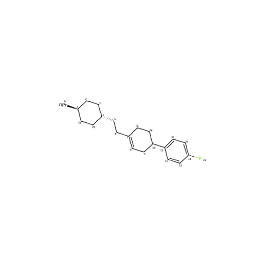 CCC[C@H]1CC[C@H](CCC2=CCC(c3ccc(F)cc3)CC2)CC1